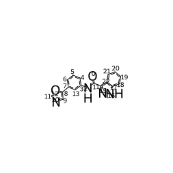 O=C(Nc1cccc(-c2cnco2)c1)c1n[nH]c2ccccc12